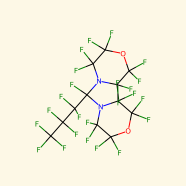 FC(F)(F)C(F)(F)C(F)(F)C(F)(N1C(F)(F)C(F)(F)OC(F)(F)C1(F)F)N1C(F)(F)C(F)(F)OC(F)(F)C1(F)F